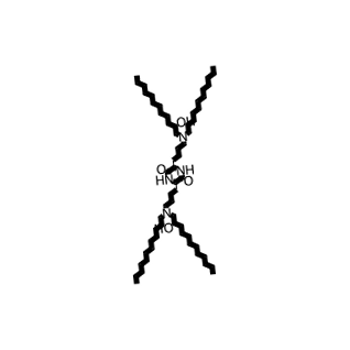 CCCCCCCCCCCCN(CCCC[C@@H]1NC(=O)[C@H](CCCCN(CCCCCCCCCCCC)C[C@H](O)CCCCCCCCCC)NC1=O)C[C@H](O)CCCCCCCCCC